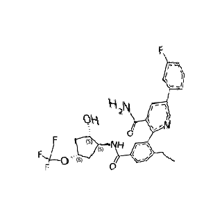 CCc1ccc(C(=O)N[C@H]2C[C@H](OC(F)(F)F)C[C@@H]2O)cc1-c1ncc(-c2cccc(F)c2)cc1C(N)=O